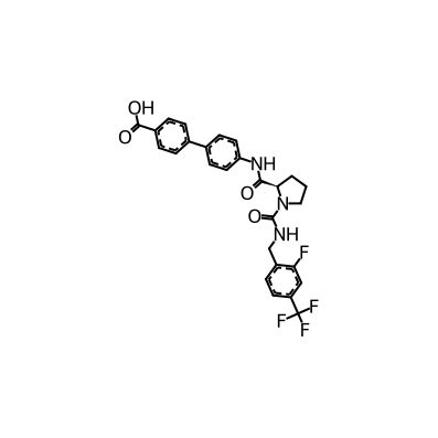 O=C(O)c1ccc(-c2ccc(NC(=O)[C@H]3CCCN3C(=O)NCc3ccc(C(F)(F)F)cc3F)cc2)cc1